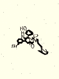 C[C@@]12Cc3c([nH]c4ccc(Br)cc34)[C@@H](c3cccc(O)c3)N1C(=O)N(CCCN1CCCC1)C2=O